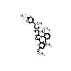 COc1cccc(-c2nnc(NS(=O)(=O)C[C@@H](O)c3cnc(C)nc3)n2-c2c(OC)cccc2OC)n1